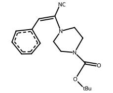 [C-]#[N+]/C(=C/c1ccccc1)N1CCN(C(=O)OC(C)(C)C)CC1